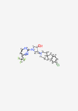 OC1CN(c2nccc(C(F)(F)F)n2)CC1N1CCC2(CC1)Cc1ccc(Cl)cc1C2